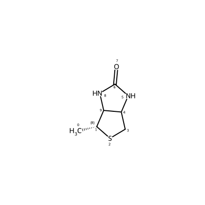 C[C@H]1SCC2NC(=O)NC21